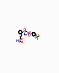 O=C(/C=C/c1ccccc1N1CCN(S(=O)(=O)c2ccc(OC(F)(F)F)cc2)CC1=O)NO